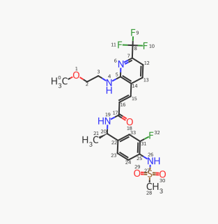 COCCNc1nc(C(F)(F)F)ccc1/C=C/C(=O)N[C@H](C)c1ccc(NS(C)(=O)=O)c(F)c1